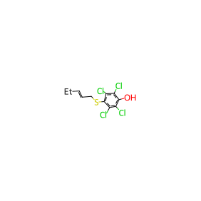 CC/C=C/CSc1c(Cl)c(Cl)c(O)c(Cl)c1Cl